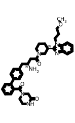 COCCCn1c([C@@H]2CCCN(C(=O)C[C@H](N)Cc3ccc(-c4ccccc4C(=O)N4CCNC(=O)C4)cc3)C2)nc2ccccc21